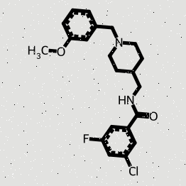 COc1cccc(CN2CCC(CNC(=O)c3cc(F)cc(Cl)c3)CC2)c1